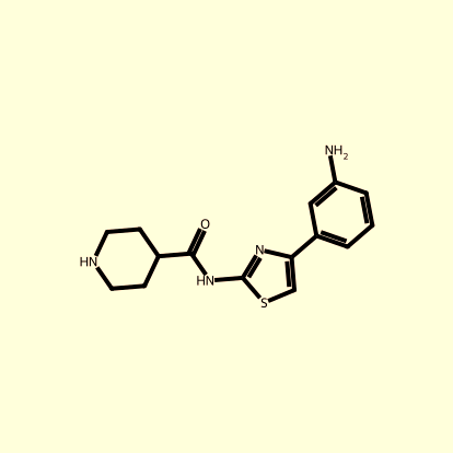 Nc1cccc(-c2csc(NC(=O)C3CCNCC3)n2)c1